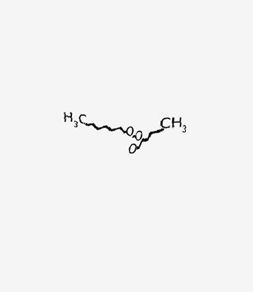 CCCC=C(C=O)OCOCCCCCCCC